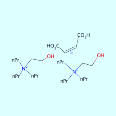 CCC[N+](CCC)(CCC)CCO.CCC[N+](CCC)(CCC)CCO.O=C(O)/C=C\C(=O)O